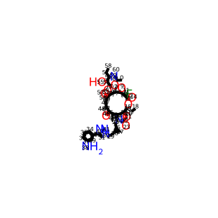 CCO[C@@H](O[C@@H]1[C@@H](C)C(=O)[C@](C)(F)C(=O)O[C@H](CC)[C@@]2(C)OC(=O)N(CC3CC3Cn3cc(-c4cccc(N)c4)nn3)[C@@H]2[C@@H](C)C(=O)[C@H](C)C[C@@]1(C)OC)C(O)C(CC)N(C)C